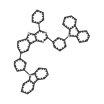 c1ccc(-c2nc(-c3cccc(-n4c5ccccc5c5ccccc54)c3)nc3c2oc2ccc(-c4cccc(-n5c6ccccc6c6ccccc65)c4)cc23)cc1